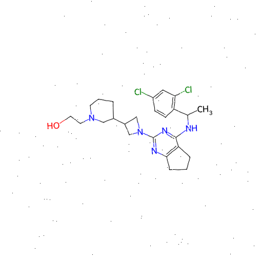 CC(Nc1nc(N2CC(C3CCCN(CCO)C3)C2)nc2c1CCC2)c1ccc(Cl)cc1Cl